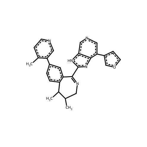 Cc1ccncc1-c1ccc2c(c1)C(c1nc3c(-c4ccoc4)cncc3[nH]1)=NCC(C)C2C